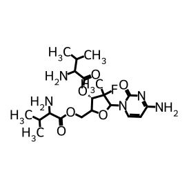 CC(C)C(N)C(=O)OCC1OC(n2ccc(N)nc2=O)C(C)(F)[C@H]1OC(=O)C(N)C(C)C